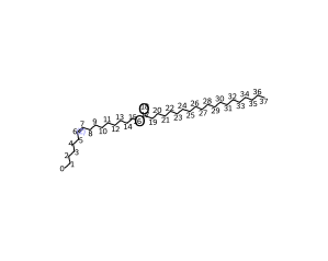 CCCCCC/C=C\CCCCCCCCOC(=O)CCCCCCCCCCCCCCCCCCC